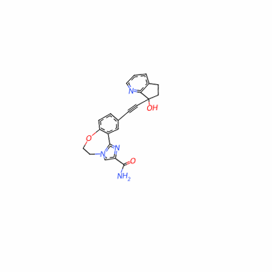 NC(=O)c1cn2c(n1)-c1cc(C#CC3(O)CCc4cccnc43)ccc1OCC2